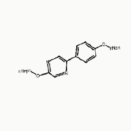 CCCCCCCCCOc1ccc(-c2cnc(OCCCCCCC)cn2)cc1